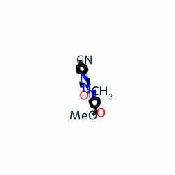 COC(=O)[C@H]1CC[C@@H](N(C)C(=O)N2CCN(c3ccc(C#N)cc3)CC2)CC1